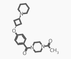 CC(=O)N1CCN(C(=O)c2ccc(O[C@H]3C[C@H](N4CCCCC4)C3)cc2)CC1